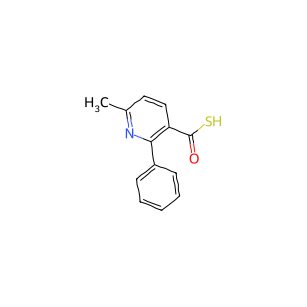 Cc1ccc(C(=O)S)c(-c2ccccc2)n1